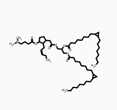 CC/C=C\CC1C(CC(=O)OCC(COC(=O)CCCCCCCC2CC2CCCCCCCC)OC(=O)CCCCCCCC2CC2CCCCCCCC)CCC1OC(=O)CCCN(C)C